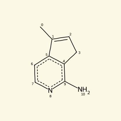 CC1=CCc2c1ccnc2N